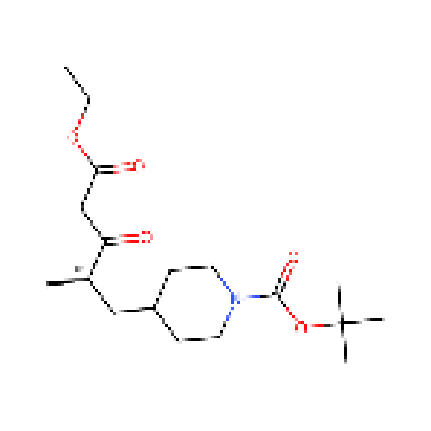 CCOC(=O)CC(=O)[C@H](C)CC1CCN(C(=O)OC(C)(C)C)CC1